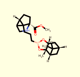 COC(=O)[C@]12CC[C@H]3C(CN1)C32CCCB1O[C@@H]2C[C@@H]3C[C@@H](C3(C)C)[C@]2(C)O1